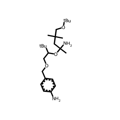 CC(C)(COC(C)(C)C)CC(C)(N)OC(COCc1ccc(N)cc1)C(C)(C)C